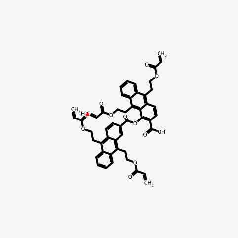 C=CC(=O)OCCc1c2ccccc2c(CCOC(=O)C=C)c2cc(C(=O)Oc3c(C(=O)O)ccc4c(CCOC(=O)C=C)c5ccccc5c(CCOC(=O)C=C)c34)ccc12